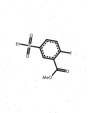 CCS(=O)(=O)c1ccc(F)c(C(=O)OC)c1